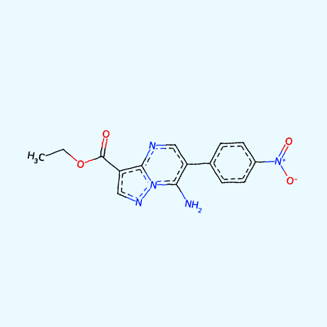 CCOC(=O)c1cnn2c(N)c(-c3ccc([N+](=O)[O-])cc3)cnc12